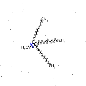 [CH2]CCc1nc(CCCCCCCCCCCCCCCC)c(CCCCCCCCCCCCCCCC)c(CCCCCCCCCCCCCCCC)n1